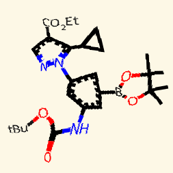 CCOC(=O)c1cnn(-c2cc(NC(=O)OC(C)(C)C)cc(B3OC(C)(C)C(C)(C)O3)c2)c1C1CC1